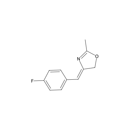 CC1=N/C(=C\c2ccc(F)cc2)CO1